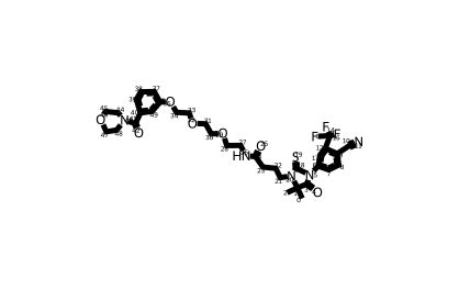 CC1(C)C(=O)N(c2ccc(C#N)c(C(F)(F)F)c2)C(=S)N1CCCC(=O)NCCOCCOCCOc1cccc(C(=O)N2CCOCC2)c1